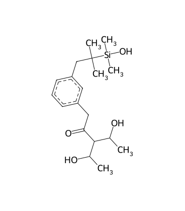 CC(O)C(C(=O)Cc1cccc(CC(C)(C)[Si](C)(C)O)c1)C(C)O